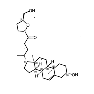 CC(CCC(=O)N1CC[C@@H](CO)O1)[C@H]1CC[C@H]2[C@@H]3CC=C4C[C@@H](O)CC[C@]4(C)[C@H]3CC[C@]12C